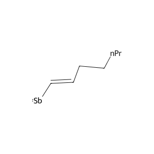 CCCCC/C=[CH]/[Sb]